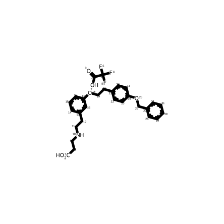 O=C(O)C(F)(F)F.O=C(O)CCNCCc1cccc(OCCc2ccc(OCc3ccccc3)cc2)c1